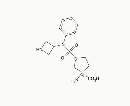 N[C@]1(C(=O)O)CCN(S(=O)(=O)N(c2ccccc2)C2CNC2)C1